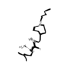 CCCCN1CCC(CNC(=O)[C@@H](N)CC(C)C)CC1